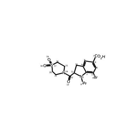 CC(C)N1c2c(Br)cc(C(=O)O)cc2CC1C(=O)N1CCS(=O)(=O)CC1